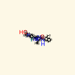 C/C=C(/C)c1ccccc1CCNC(=O)c1cc(C2CC2)n2nc(-c3ccc(N4C[C@H](C)[C@@H](O)C4)cc3F)cc2n1